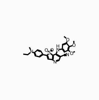 CCN(C)c1ccc(C2=Cc3ncc(C#N)c(Nc4cc(OC)c(OC)c(OC)c4)c3S2(=O)=O)cc1